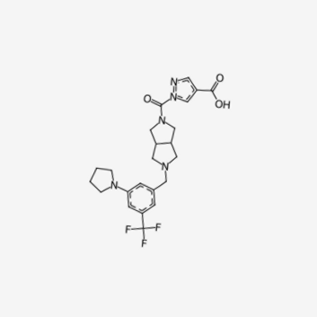 O=C(O)c1cnn(C(=O)N2CC3CN(Cc4cc(N5CCCC5)cc(C(F)(F)F)c4)CC3C2)c1